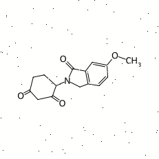 COc1ccc2c(c1)C(=O)N(C1CCC(=O)CC1=O)C2